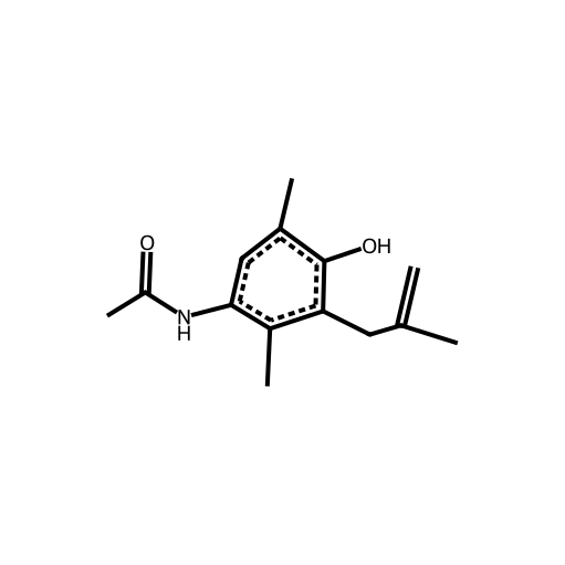 C=C(C)Cc1c(C)c(NC(C)=O)cc(C)c1O